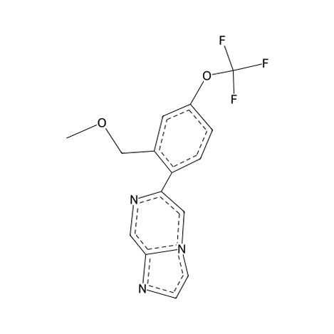 COCc1cc(OC(F)(F)F)ccc1-c1cn2ccnc2cn1